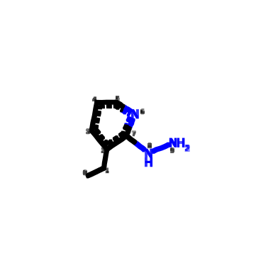 CCc1cccnc1NN